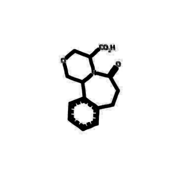 O=C(O)C1COCC2c3ccccc3CCC(=O)N12